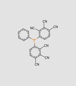 N#Cc1ccc(P(c2ccccc2)c2ccc(C#N)c(C#N)c2C#N)c(C#N)c1C#N